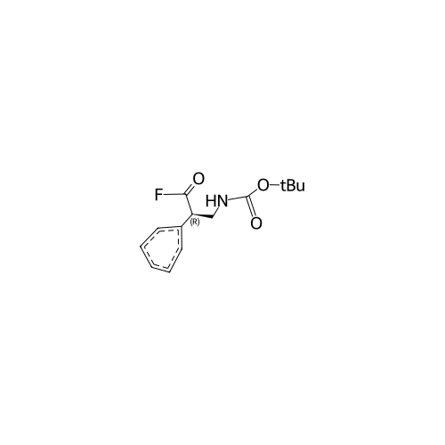 CC(C)(C)OC(=O)NC[C@H](C(=O)F)c1ccccc1